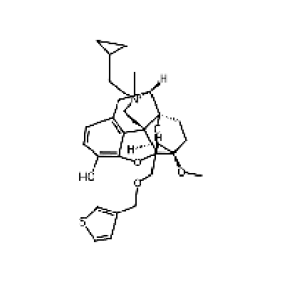 CO[C@]12CC[C@@]3(C[C@@H]1COCc1ccsc1)[C@H]1Cc4ccc(O)c5c4[C@@]3(CC[N+]1(C)CC1CC1)[C@H]2O5